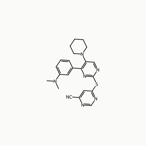 CN(C)c1cccc(-c2nc(Sc3cc(C#N)ncn3)ncc2N2CCCCC2)c1